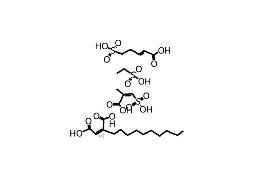 CC(=CS(=O)(=O)O)C(=O)O.CCCCCCCCCC/C(=C/C(=O)O)C(=O)O.CCS(=O)(=O)O.O=C(O)C=CCCS(=O)(=O)O